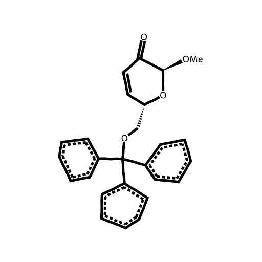 CO[C@H]1O[C@H](COC(c2ccccc2)(c2ccccc2)c2ccccc2)C=CC1=O